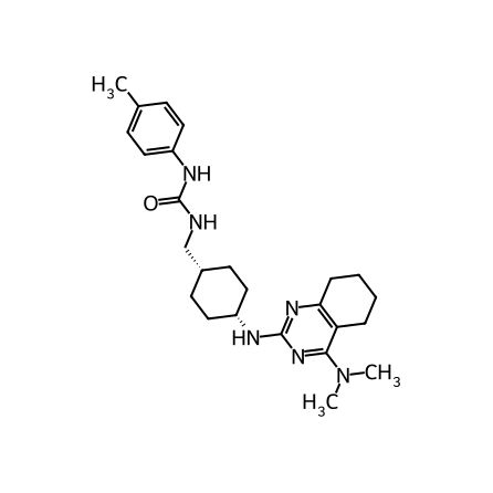 Cc1ccc(NC(=O)NC[C@H]2CC[C@@H](Nc3nc4c(c(N(C)C)n3)CCCC4)CC2)cc1